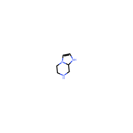 [CH]1NCCN2C=CNC12